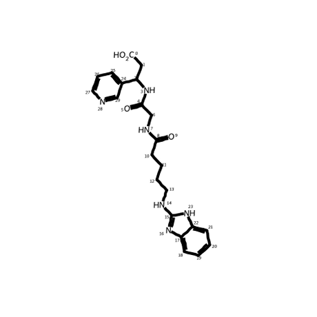 O=C(O)CC(NC(=O)CNC(=O)CCCCNc1nc2ccccc2[nH]1)c1cccnc1